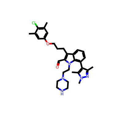 Cc1cc(OCCCc2c(C=O)n(CCN3CCNCC3)c3c(-c4c(C)nn(C)c4C)cccc23)cc(C)c1Cl